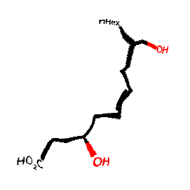 CCCCCCC(O)C/C=C\C[C@@H](O)CC(=O)O